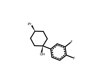 CC(C)[C@H]1CC[C@](O)(c2ccc(F)c(F)c2)CC1